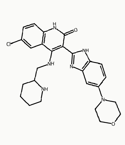 O=c1[nH]c2ccc(Cl)cc2c(NCC2CCCCN2)c1-c1nc2cc(N3CCOCC3)ccc2[nH]1